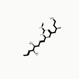 C=C(C[C@H](C)CCO)C[C@@H](/C=C/C[C@H](O)[C@@H](O)/C=C/C)OCOC